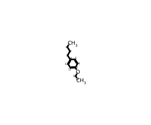 C[CH]CCc1ccc(OCC)cc1